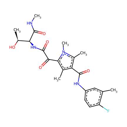 CNC(=O)[C@@H](NC(=O)C(=O)c1c(C)c(C(=O)Nc2ccc(F)c(C)c2)c(C)n1C)[C@H](C)O